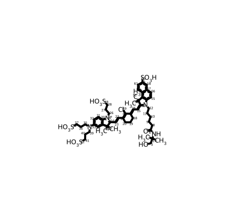 CC(C)(CO)NC(=O)CCCCCN1/C(=C/C=C2\CCCC(/C=C/C3=[N+](CCCS(=O)(=O)O)c4ccc(N(CCCS(=O)(=O)O)CCCS(=O)(=O)O)cc4C3(C)C)=C2Cl)C(C)(C)c2c1ccc1cc(S(=O)(=O)O)ccc21